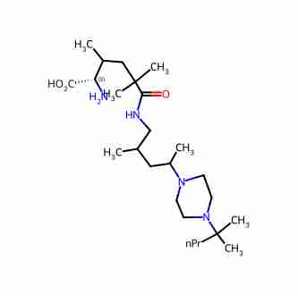 CCCC(C)(C)N1CCN(C(C)CC(C)CNC(=O)C(C)(C)CC(C)[C@H](N)C(=O)O)CC1